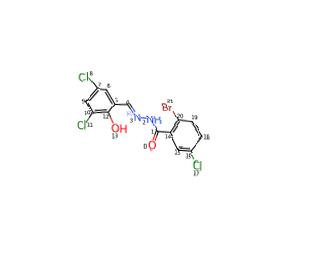 O=C(N/N=C/c1cc(Cl)cc(Cl)c1O)c1cc(Cl)ccc1Br